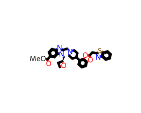 COC(=O)c1ccc2nc(CN3CCC(c4cccc5c4OC(Cc4nc6ccccc6s4)O5)CC3)n(C[C@@H]3CCO3)c2c1